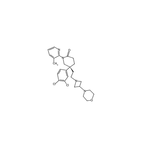 Cc1cccnc1N1C[C@@](CCN2CC(N3CCOCC3)C2)(c2ccc(Cl)c(Cl)c2)CCC1=O